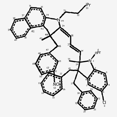 CCCN1c2ccc(Cl)cc2C(Cc2ccccc2)(Cc2ccccc2)C1(C)/C=C/C=C1/N(CCC(C)C)c2ccc3ccccc3c2C1(C)Cc1cccc([N+](=O)[O-])c1